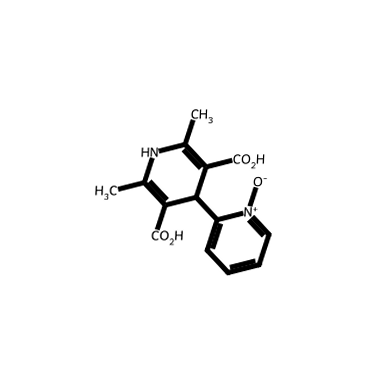 CC1=C(C(=O)O)C(c2cccc[n+]2[O-])C(C(=O)O)=C(C)N1